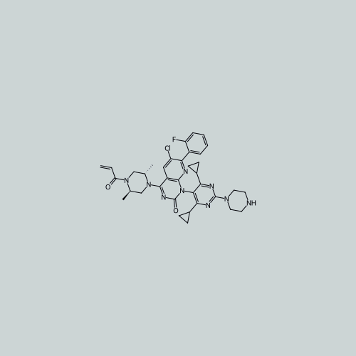 C=CC(=O)N1C[C@H](C)N(c2nc(=O)n(-c3c(C4CC4)nc(N4CCNCC4)nc3C3CC3)c3nc(-c4ccccc4F)c(Cl)cc23)C[C@H]1C